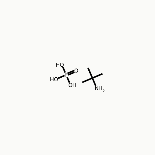 CC(C)(C)N.O=P(O)(O)O